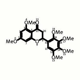 COc1cc(OC)c2c(c1)OC(c1cc(OC)c(OC)c(OC)c1OC)CC2=O